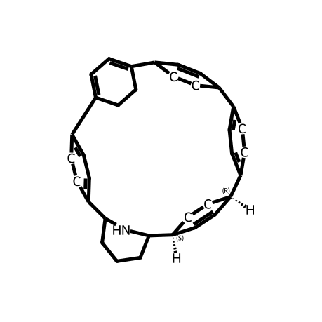 C1=CC2CCC1C1=CC=C(CC1)C1=CC=C(CC1)C1CCCC(N1)[C@@H]1C=C[C@@H](CC1)C1=CC=C2CC1